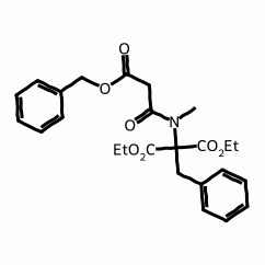 CCOC(=O)C(Cc1ccccc1)(C(=O)OCC)N(C)C(=O)CC(=O)OCc1ccccc1